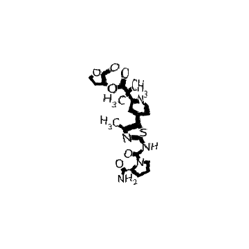 Cc1nc(NC(=O)N2CCC[C@H]2C(N)=O)sc1-c1ccnc(C(C)(C)C(=O)OC2CCOC2=O)c1